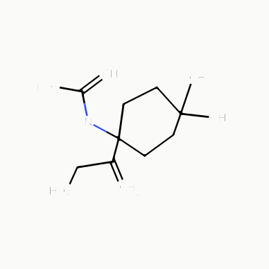 C=C(C)NC1(C(=C)CC)CCC(C)(C)CC1